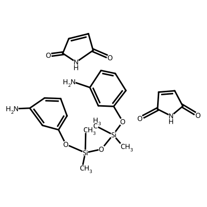 C[Si](C)(Oc1cccc(N)c1)O[Si](C)(C)Oc1cccc(N)c1.O=C1C=CC(=O)N1.O=C1C=CC(=O)N1